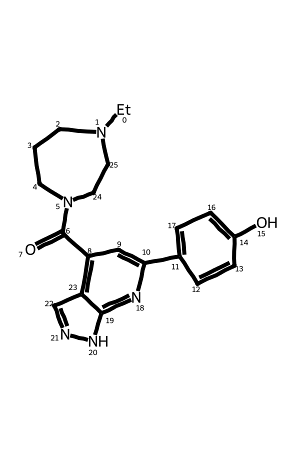 CCN1CCCN(C(=O)c2cc(-c3ccc(O)cc3)nc3[nH]ncc23)CC1